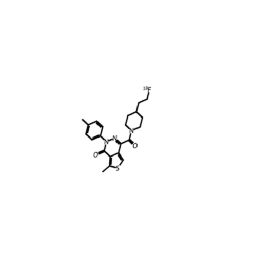 Cc1ccc(-n2nc(C(=O)N3CCC(CC[18F])CC3)c3csc(C)c3c2=O)cc1